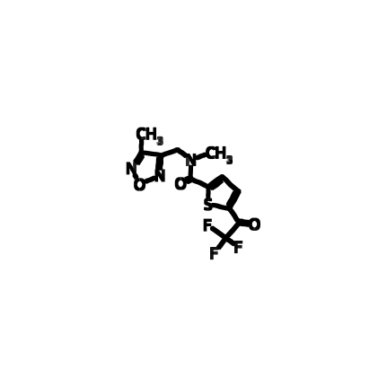 Cc1nonc1CN(C)C(=O)c1ccc(C(=O)C(F)(F)F)s1